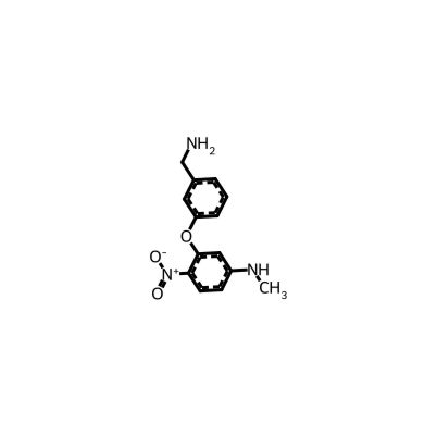 CNc1ccc([N+](=O)[O-])c(Oc2cccc(CN)c2)c1